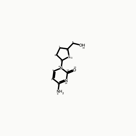 Nc1ccn(C2CCC(CO)S2)c(=O)n1